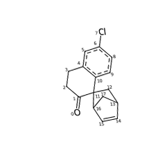 O=C1CCc2cc(Cl)ccc2C12CC1C=CC2C1